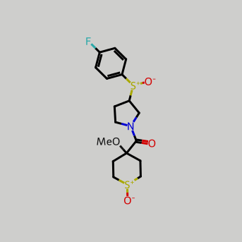 COC1(C(=O)N2CCC([S+]([O-])c3ccc(F)cc3)C2)CC[S+]([O-])CC1